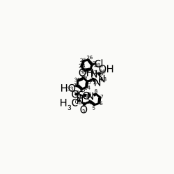 CN(C(=O)c1ccccn1)S(=O)(=O)c1cc(-c2nnc(O)n2-c2ccccc2Cl)c(O)cc1O